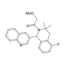 COCC(=O)N1C(c2cnc3ccccc3c2)c2cccc(F)c2CC1(C)C